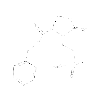 CC(C)COP(C)(=O)CCC1C(=O)OCN1C(=O)OCc1ccccc1